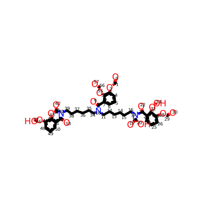 O=COc1cccc(C(=O)N(CCCCCCN(C(=O)O)C(=O)c2cccc(OC=O)c2OO)CCCCCCn2c(=O)oc3c(OO)cccc3c2=O)c1OC=O